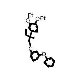 C=CC(C)(CCCc1cccc(Oc2ccccc2)c1)c1ccc(OCC)c(OCC)c1